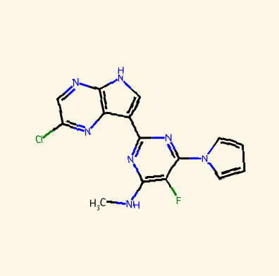 CNc1nc(-c2c[nH]c3ncc(Cl)nc23)nc(-n2cccc2)c1F